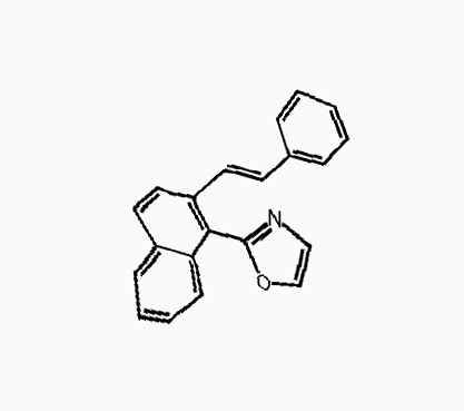 C(=Cc1ccc2ccccc2c1-c1ncco1)c1ccccc1